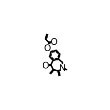 C=CC(=O)Oc1ccc2c(c1)C(=O)C(=C)C(=C)N(C)C2